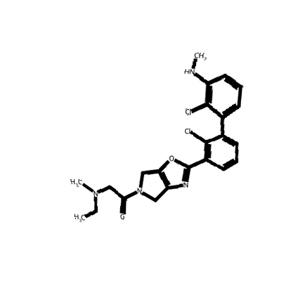 CCN(C)CC(=O)N1Cc2nc(-c3cccc(-c4cccc(NC)c4Cl)c3Cl)oc2C1